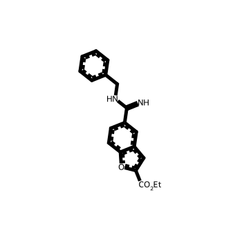 CCOC(=O)c1cc2cc(C(=N)NCc3ccccc3)ccc2o1